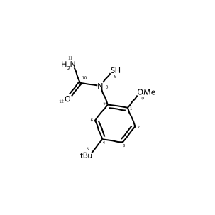 COc1ccc(C(C)(C)C)cc1N(S)C(N)=O